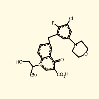 CC(C)(C)[C@@H](CO)n1cc(C(=O)O)c(=O)c2cc(Cc3cc(N4CCOCC4)cc(Cl)c3F)ccc21